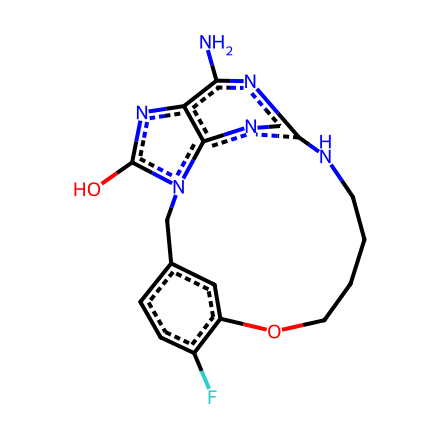 Nc1nc2nc3c1nc(O)n3Cc1ccc(F)c(c1)OCCCCN2